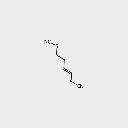 N#CSC=CCCSC#N